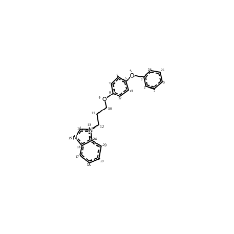 c1ccc(Oc2ccc(OCCCn3cnc4ccccc43)cc2)cc1